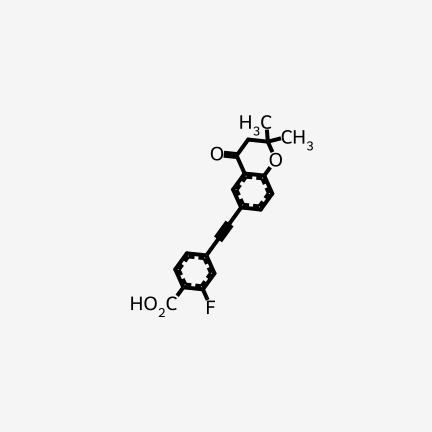 CC1(C)CC(=O)c2cc(C#Cc3ccc(C(=O)O)c(F)c3)ccc2O1